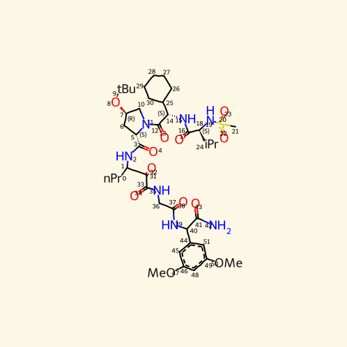 CCCC(NC(=O)[C@@H]1C[C@@H](OC(C)(C)C)CN1C(=O)[C@@H](NC(=O)[C@@H](NS(C)(=O)=O)C(C)C)C1CCCCC1)C(=O)C(=O)NCC(=O)NC(C(N)=O)c1cc(OC)cc(OC)c1